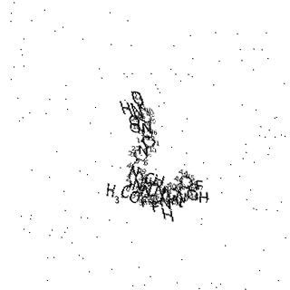 C[C@@H]1CN(CC2CCN(c3ccc4c(c3)C(=O)N(C3CCC(=O)NC3=O)C4)CC2)C[C@H](C)N1C(=O)N1CCN2c3cc(-c4cccc(F)c4O)nnc3NC[C@@]2(C(F)F)C1